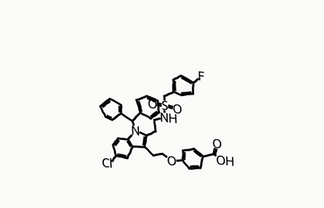 O=C(O)c1ccc(OCCc2c(CCNS(=O)(=O)Cc3ccc(F)cc3)n(C(c3ccccc3)c3ccccc3)c3ccc(Cl)cc23)cc1